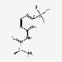 C[C@H](N)C(=O)Nc1cccc(C(F)(F)F)c1